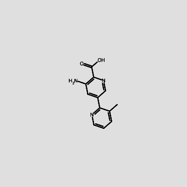 Cc1cccnc1-c1cnc(C(=O)O)c(N)c1